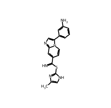 Cc1c[nH]c(SC(=N)c2ccn3c(-c4cccc(N)c4)cnc3c2)n1